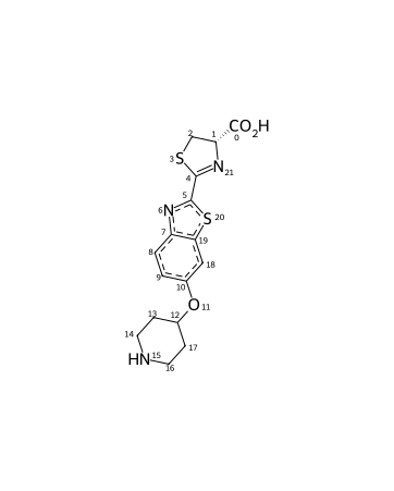 O=C(O)[C@H]1CSC(c2nc3ccc(OC4CCNCC4)cc3s2)=N1